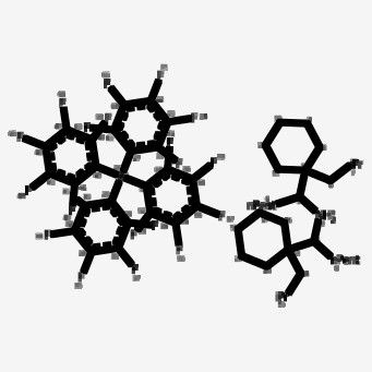 CCCCCC([NH2+]C(CCCCC)C1(CC(C)C)CCCCC1)C1(CC(C)C)CCCCC1.Fc1c(F)c(F)c([B-](c2c(F)c(F)c(F)c(F)c2F)(c2c(F)c(F)c(F)c(F)c2F)c2c(F)c(F)c(F)c(F)c2F)c(F)c1F